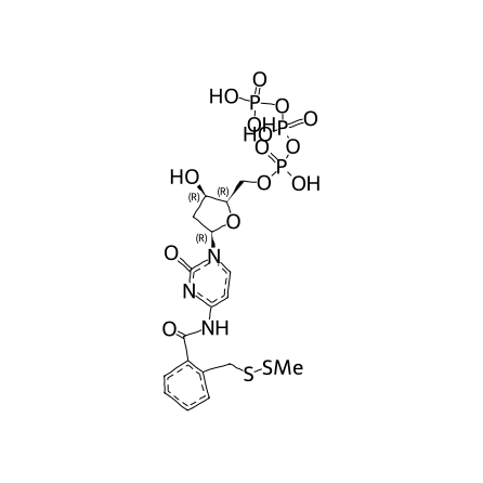 CSSCc1ccccc1C(=O)Nc1ccn([C@H]2C[C@@H](O)[C@@H](COP(=O)(O)OP(=O)(O)OP(=O)(O)O)O2)c(=O)n1